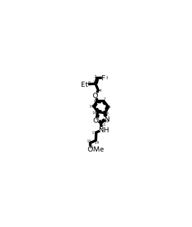 CC/C(=C/F)COc1ccc2nc(NCCCOC)oc2c1